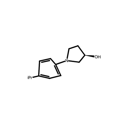 CC(C)c1ccc(N2CC[C@@H](O)C2)cc1